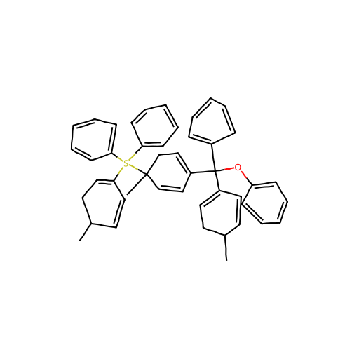 CC1C=CC(C(Oc2ccccc2)(C2=CCC(C)(S(C3=CCC(C)C=C3)(c3ccccc3)c3ccccc3)C=C2)c2ccccc2)=CC1